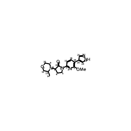 COc1nc(N2CCC(N3CCOCC3C)C2=O)ccc1-c1cn[nH]c1